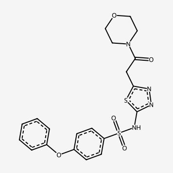 O=C(Cc1nnc(NS(=O)(=O)c2ccc(Oc3ccccc3)cc2)s1)N1CCOCC1